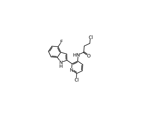 O=C(CCCl)Nc1ccc(Cl)nc1-c1cc2c(F)cccc2[nH]1